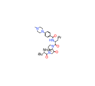 CCC(C)C(NC(C)=O)C(=O)N1CC(=O)C2C1CCN2C(=O)C(CC(C)C)NC(=O)c1ccc(N2CCN(C)CC2)cc1